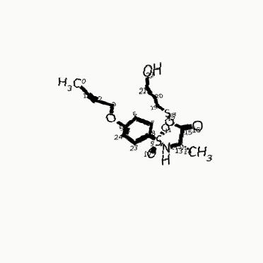 CC#CCOc1ccc(S(=O)(=O)N[C@@H](C)C(=O)OSCCCO)cc1